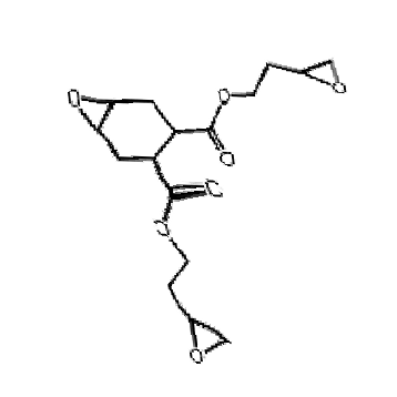 O=C(OCCC1CO1)C1CC2OC2CC1C(=O)OCCC1CO1